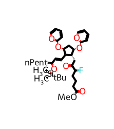 CCCCCC(/C=C/C1[C@@H](CC(=O)C(F)CCCC(=O)OC)[C@@H](O[C@@H]2C=CC=CO2)C[C@H]1O[C@@H]1C=CC=CO1)O[Si](C)(C)C(C)(C)C